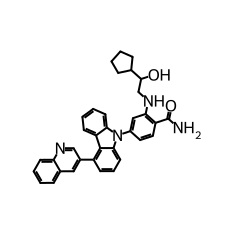 NC(=O)c1ccc(-n2c3ccccc3c3c(-c4cnc5ccccc5c4)cccc32)cc1NCC(O)C1CCCC1